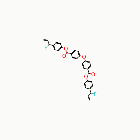 C=CC(F)c1ccc(OC(=O)c2ccc(Oc3ccc(C(=O)Oc4ccc(C(F)C=C)cc4)cc3)cc2)cc1